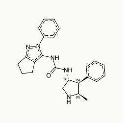 C[C@H]1NC[C@H](NC(=O)Nc2c3c(nn2-c2ccccc2)CCC3)[C@H]1c1ccccc1